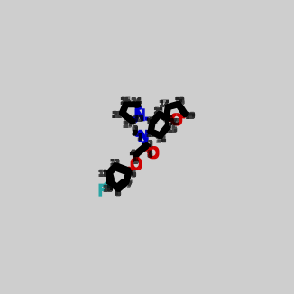 CN(C(=O)COc1ccc(F)cc1)[C@@H]1CC[C@]2(CCCO2)C[C@H]1N1CCCC1